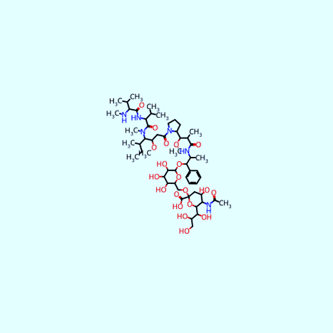 CCC(C)C(C(CC(=O)N1CCCC1C(OC)C(C)C(=O)NC(C)C(OC1OC(COC2(C(=O)O)CC(O)C(NC(C)=O)C(C(O)C(O)CO)O2)C(O)C(O)C1O)c1ccccc1)OC)N(C)C(=O)C(NC(=O)C(NC)C(C)C)C(C)C